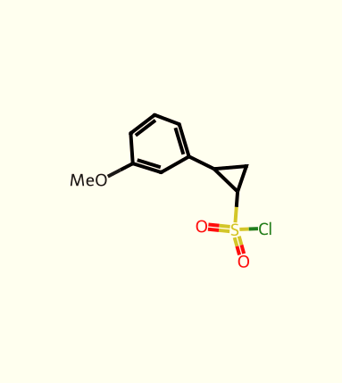 COc1cccc(C2CC2S(=O)(=O)Cl)c1